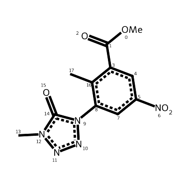 COC(=O)c1cc([N+](=O)[O-])cc(-n2nnn(C)c2=O)c1C